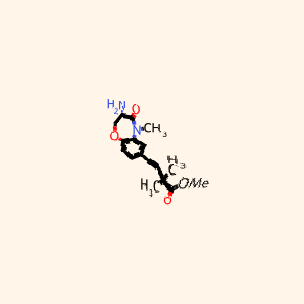 COC(=O)C(C)(C)C#Cc1ccc2c(c1)N(C)C(=O)[C@@H](N)CO2